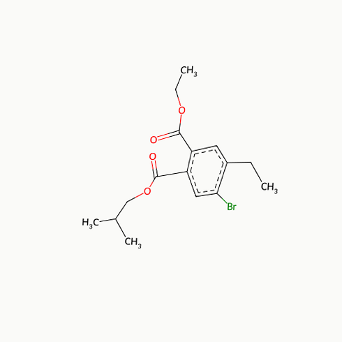 CCOC(=O)c1cc(CC)c(Br)cc1C(=O)OCC(C)C